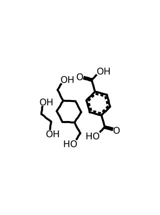 O=C(O)c1ccc(C(=O)O)cc1.OCC1CCC(CO)CC1.OCCO